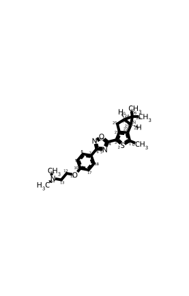 Cc1sc(-c2nc(-c3ccc(OCCN(C)C)cc3)no2)c2c1[C@H]1[C@@H](C2)C1(C)C